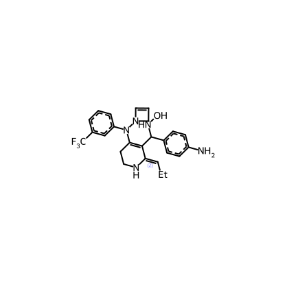 CC/C=C1\NCCC(N(c2cccc(C(F)(F)F)c2)N2C=CC2)=C1C(NO)c1ccc(N)cc1